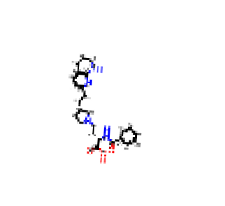 O=C(N[C@@H](CCN1CC[C@@H](CCc2ccc3c(n2)NCCC3)C1)C(=O)O)c1ccccc1